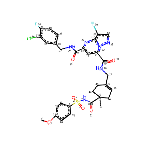 COc1ccc(S(=O)(=O)NC(=O)C2(C)CC=C(CNC(=O)c3cc(C(=O)NCc4ccc(F)c(Cl)c4)nc4c(F)cnn34)CC2)cc1